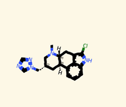 CN1C[C@@H](Cn2cncn2)C[C@@H]2c3cccc4[nH]c(Cl)c(c34)C[C@H]21